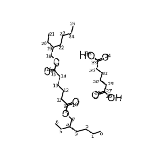 CCCCC(CC)COC(=O)CCCCC(=O)OCC(CC)CCCC.O=C(O)CCCCC(=O)O